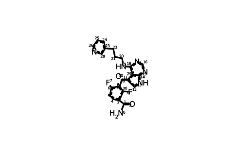 NC(=O)c1ccc(F)c(C(=O)c2c[nH]c3ncnc(NCCCc4cccnc4)c23)c1F